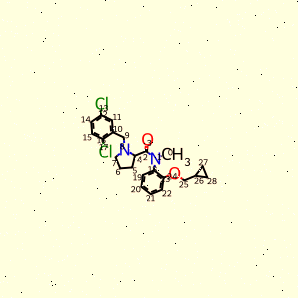 CN(C(=O)C1CCCN1Cc1cc(Cl)ccc1Cl)c1ccccc1OCC1CC1